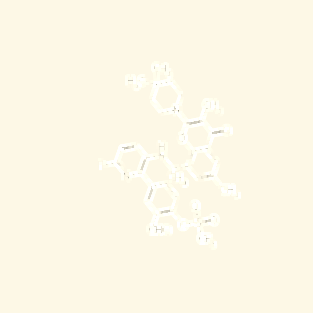 Cc1cc(C(C)Nc2ccc(F)nc2-c2ccc(OS(=O)(=O)C(F)(F)F)c(C=O)c2)c2oc(N3CCC(C)(C)CC3)c(C)c(=O)c2c1